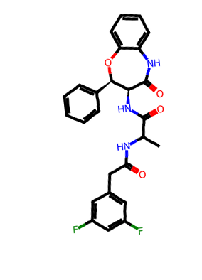 CC(NC(=O)Cc1cc(F)cc(F)c1)C(=O)N[C@@H]1C(=O)Nc2ccccc2O[C@@H]1c1ccccc1